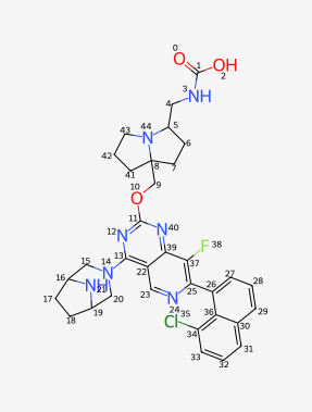 O=C(O)NCC1CCC2(COc3nc(N4CC5CCC(C4)N5)c4cnc(-c5cccc6cccc(Cl)c56)c(F)c4n3)CCCN12